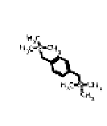 C[Si](C)(C)Cc1ccc(C[Si](C)(C)C)cc1